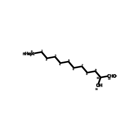 CCCCCCCCCCCCCCCCC(O)[C]=O